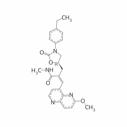 CCc1ccc(N2C[C@@H](CC(=Cc3ccnc4ccc(OC)nc34)C(=O)NC)OC2=O)cc1